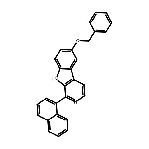 c1ccc(COc2ccc3[nH]c4c(-c5cccc6ccccc56)nccc4c3c2)cc1